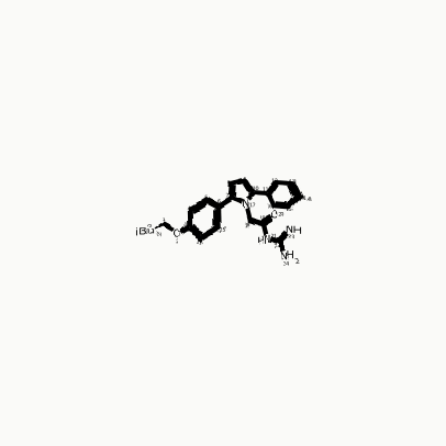 CC[C@H](C)COc1ccc(-c2ccc(-c3ccccc3)n2CC(=O)NC(=N)N)cc1